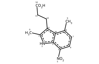 Cc1[nH]c2c([N+](=O)[O-])ccc(C)c2c1CCC(=O)O